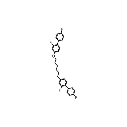 Fc1ccc(-c2ccc(CCCCCCOc3ccc(-c4ccc(F)cc4)c(F)c3)cc2F)cc1